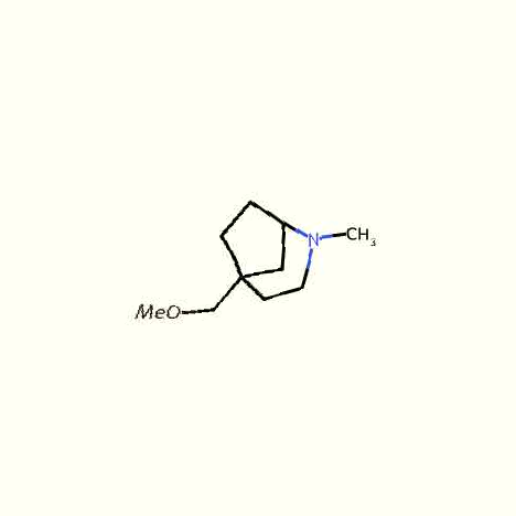 COCC12CCC(C1)N(C)CC2